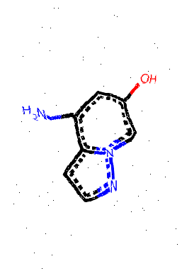 Nc1cc(O)cn2nccc12